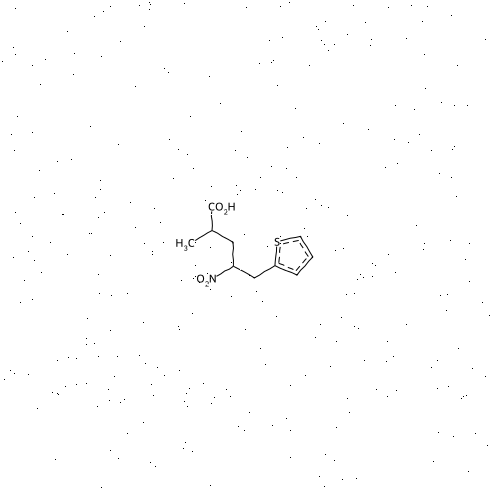 CC(CC(Cc1cccs1)[N+](=O)[O-])C(=O)O